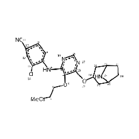 COCCOc1c(Nc2ccc(C#N)cc2Cl)ncnc1OC1CC2CCC(C1)N2